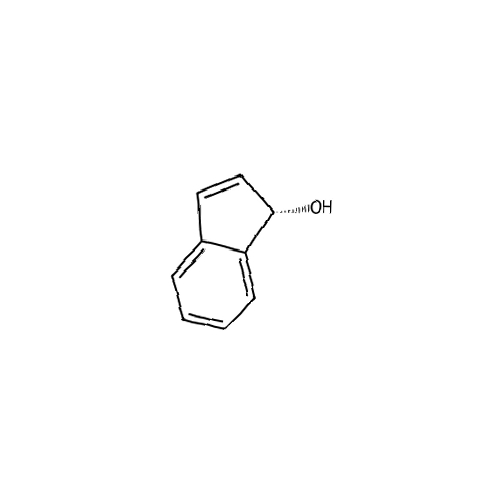 O[C@H]1C=Cc2ccccc21